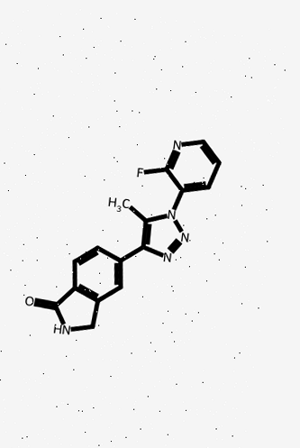 Cc1c(-c2ccc3c(c2)CNC3=O)nnn1-c1cccnc1F